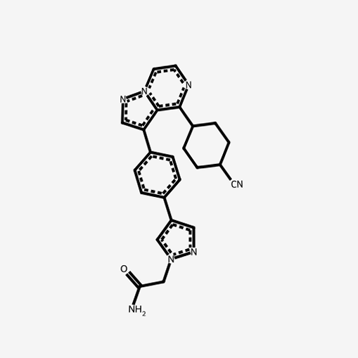 N#CC1CCC(c2nccn3ncc(-c4ccc(-c5cnn(CC(N)=O)c5)cc4)c23)CC1